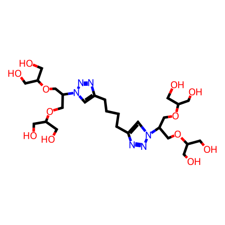 OCC(CO)OCC(COC(CO)CO)n1cc(CCCCc2cn(C(COC(CO)CO)COC(CO)CO)nn2)nn1